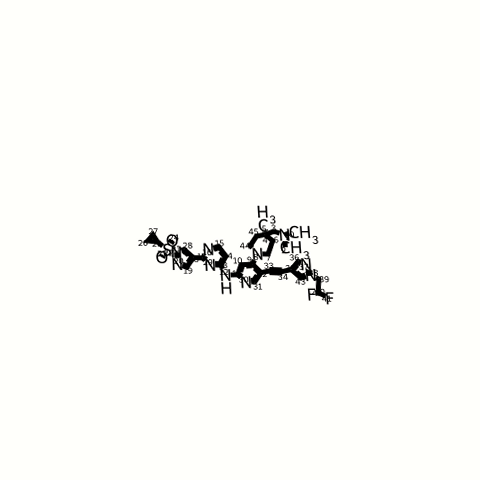 CN(C)CC1(C)CCN(c2cc(Nc3ccnc(-c4cnn(S(=O)(=O)C5CC5)c4)n3)ncc2C#Cc2cnn(CC(F)F)c2)CC1